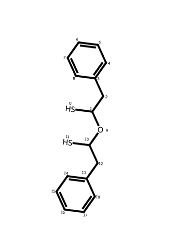 SC(Cc1ccccc1)OC(S)Cc1ccccc1